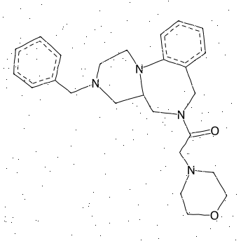 O=C(CN1CCOCC1)N1Cc2ccccc2N2CCN(Cc3ccccc3)CC2C1